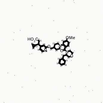 COc1ccc(C(=O)N2CCOCC2Cc2ccccc2)c(N2CCC(COc3cc(C(CC(=O)O)C4CC4)ccn3)CC2)c1